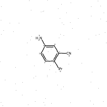 CC(C)c1ccc(N)cc1C#N